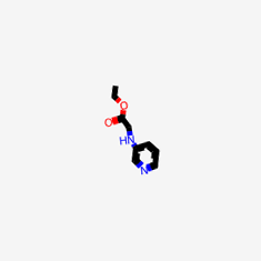 CCOC(=O)CNc1cccnc1